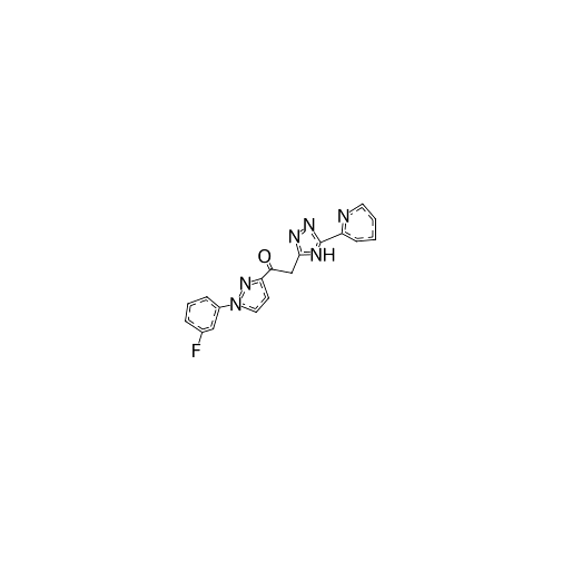 O=C(Cc1nnc(-c2ccccn2)[nH]1)c1ccn(-c2cccc(F)c2)n1